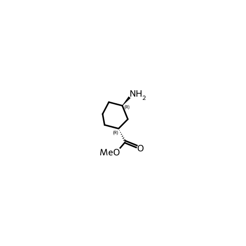 COC(=O)[C@@H]1CCC[C@@H](N)C1